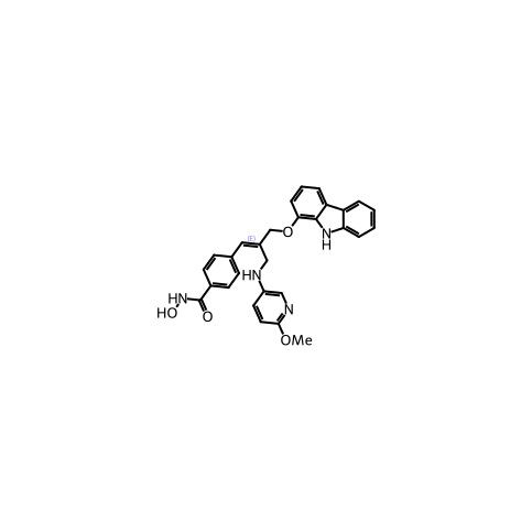 COc1ccc(NC/C(=C\c2ccc(C(=O)NO)cc2)COc2cccc3c2[nH]c2ccccc23)cn1